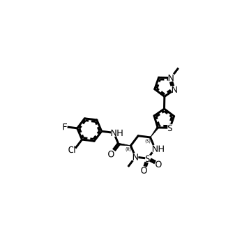 CN1[C@@H](C(=O)Nc2ccc(F)c(Cl)c2)C[C@@H](c2cc(-c3ccn(C)n3)cs2)NS1(=O)=O